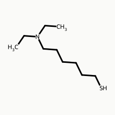 CCN(CC)CCCCCCS